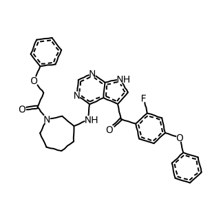 O=C(c1ccc(Oc2ccccc2)cc1F)c1c[nH]c2ncnc(NC3CCCCN(C(=O)COc4ccccc4)C3)c12